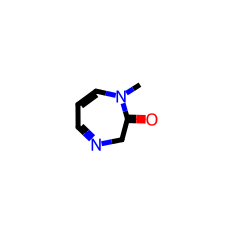 CN1C=CC=NCC1=O